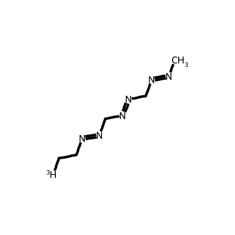 [3H]CCN=NCN=NCN=NC